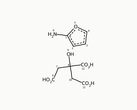 Nc1ccco1.O=C(O)CC(O)(CC(=O)O)C(=O)O